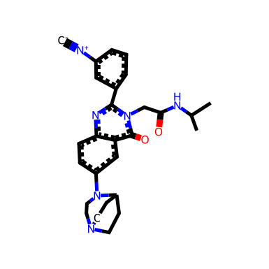 [C-]#[N+]c1cccc(-c2nc3ccc(N4CCN5CCC4CC5)cc3c(=O)n2CC(=O)NC(C)C)c1